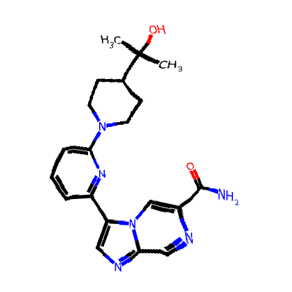 CC(C)(O)C1CCN(c2cccc(-c3cnc4cnc(C(N)=O)cn34)n2)CC1